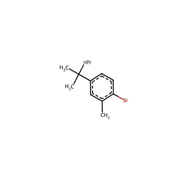 CCCC(C)(C)c1ccc(Br)c(C)c1